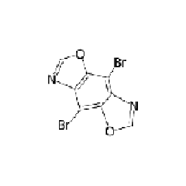 Brc1c2ncoc2c(Br)c2ncoc12